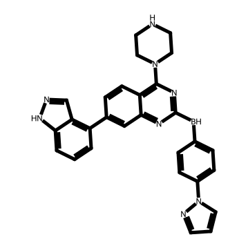 B(c1ccc(-n2cccn2)cc1)c1nc(N2CCNCC2)c2ccc(-c3cccc4[nH]ncc34)cc2n1